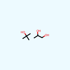 CC(C)(C)O.CC(O)CO